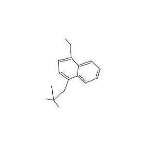 CCc1ccc(CC(C)(C)C)c2ccccc12